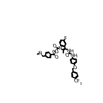 Cc1c(NC(=O)Nc2ccc(OCc3ccc(C(F)(F)F)cc3)cc2)c2cc(F)ccc2n1C(=O)OOC(=O)c1ccc(CN(C)C)cc1